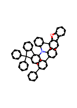 c1ccc(-c2ccc(-c3ccccc3N(c3ccccc3-c3cccc4c3oc3ccccc34)c3cccc4c3-c3ccccc3C4(c3ccccc3)c3ccccc3)cc2)cc1